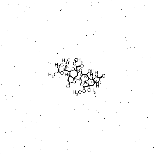 CC[C@@H](C)[C@@H](OC(C)=O)C1O[C@@](O[C@H](CC)[C@@H](O)C2O[C@](C)(C(=O)OC)C[C@H]3OC(=O)N[C@@H]23)(C(=O)OC)C[C@H]2OC(=O)C[C@@H]12